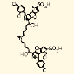 CN(CCCCC(O)c1nn(-c2ccc(Cl)cc2Cl)c2c1oc1cc(S(=O)(=O)O)sc12)CCCCC(O)c1nn(-c2ccc(Cl)cc2Cl)c2c1oc1cc(S(=O)(=O)O)sc12